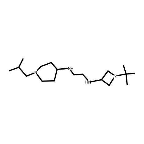 CC(C)CN1CCC(NCCNC2CN(C(C)(C)C)C2)CC1